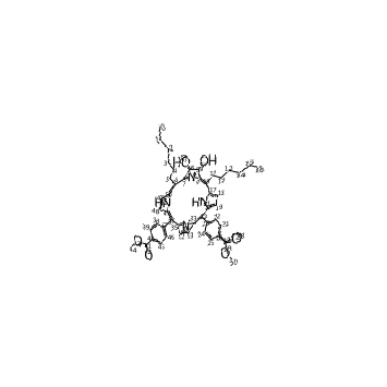 CCCCCCc1c2nc(c(CCCCCC)c3ccc([nH]3)c(-c3ccc(C(=O)OC)cc3)c3nc(c(-c4ccc(C(=O)OC)cc4)c4ccc1[nH]4)C=C3)[C@H](O)[C@@H]2O